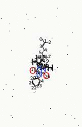 CC(C)=CCC[C@@H](C)[C@H]1C[C@H]2C(C)=C[C@@H]1n1c(=O)n(-c3ccccc3)c(=O)n12